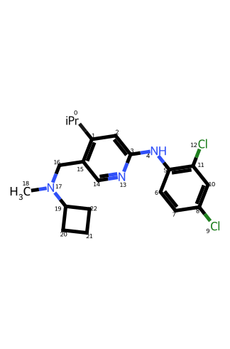 CC(C)c1cc(Nc2ccc(Cl)cc2Cl)ncc1CN(C)C1CCC1